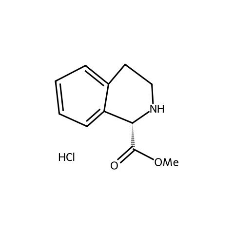 COC(=O)[C@H]1NCCc2ccccc21.Cl